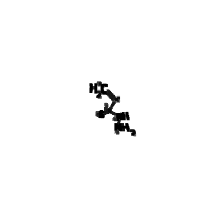 C=CC(=S)NN